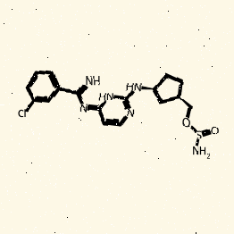 N=C(/N=c1/ccnc(N[C@H]2CC[C@@H](COS(N)=O)C2)[nH]1)c1cccc(Cl)c1